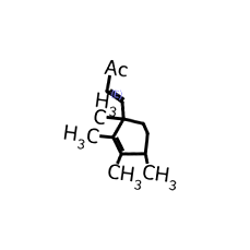 CC(=O)/C=C/C1(C)CCC(C)C(C)=C1C